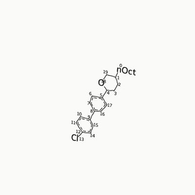 CCCCCCCCC1CCC(c2ccc(-c3ccc(Cl)cc3)cc2)OC1